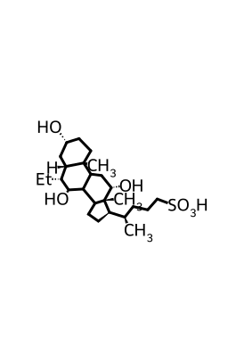 CC[C@H]1[C@@H](O)C2C3CC[C@H]([C@H](C)CCCS(=O)(=O)O)[C@@]3(C)[C@@H](O)CC2[C@@]2(C)CC[C@@H](O)C[C@@H]12